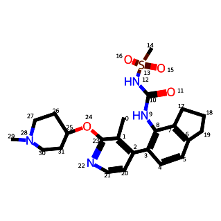 Cc1c(-c2ccc3c(c2NC(=O)NS(C)(=O)=O)CCC3)ccnc1OC1CCN(C)CC1